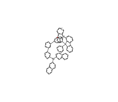 c1ccc(C2(c3ccccc3)c3ccccc3-c3cccc(-n4c5ccccc5c5cc(-c6cccc(-c7cccc(N(c8ccc9ccccc9c8)c8ccc9ccccc9c8)c7)c6)ccc54)c32)cc1